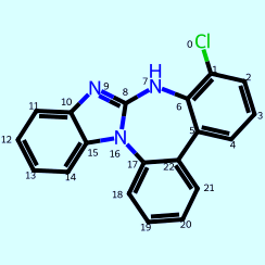 Clc1cccc2c1Nc1nc3ccccc3n1-c1ccccc1-2